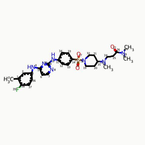 Cc1cc(Nc2ccnc(Nc3ccc(S(=O)(=O)N4CCC(N(C)CCC(=O)N(C)C)CC4)cc3)n2)ccc1F